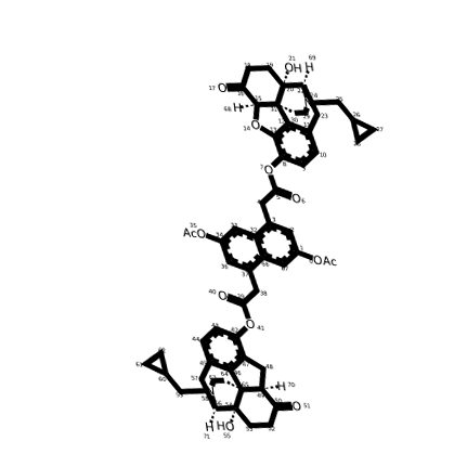 CC(=O)Oc1cc(CC(=O)Oc2ccc3c4c2O[C@H]2C(=O)CC[C@@]5(O)[C@@H](C3)N(CC3CC3)CC[C@]425)c2cc(OC(C)=O)cc(CC(=O)Oc3ccc4c5c3C[C@H]3C(=O)CC[C@@]6(O)[C@@H](C4)N(CC4CC4)CC[C@]536)c2c1